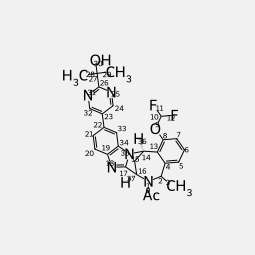 CC(=O)N1C(C)c2cccc(OC(F)F)c2[C@H]2C[C@@H]1c1nc3ccc(-c4cnc(C(C)(C)O)nc4)cc3n12